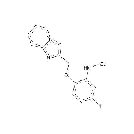 CCCCNc1nc(I)ncc1OCc1cn2ccccc2n1